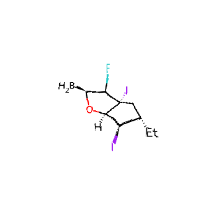 B[C@@H]1O[C@@H]2[C@H](I)[C@@H](CC)C[C@]2(I)[C@@H]1F